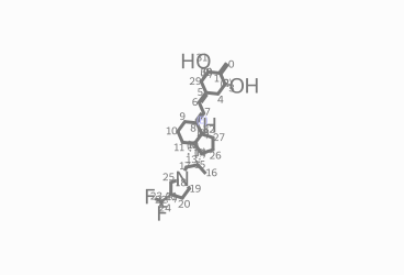 C=C1[C@H](O)CC(=C/C=C2\CCC[C@]3(C)[C@@H](C(C)CN4CC[C@@H](C(F)F)C4)CC[C@@H]23)C[C@H]1O